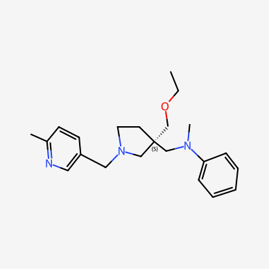 CCOC[C@@]1(CN(C)c2ccccc2)CCN(Cc2ccc(C)nc2)C1